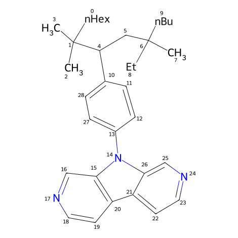 CCCCCCC(C)(C)C(CC(C)(CC)CCCC)c1ccc(-n2c3cnccc3c3ccncc32)cc1